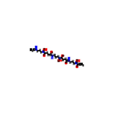 CNCCCN(O)C(=O)CCC(=O)NCCCN(O)C(=O)CCC(=O)NCCCN(O)C(C)=O